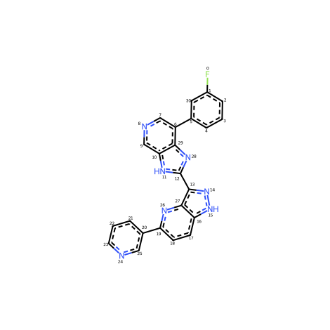 Fc1cccc(-c2cncc3[nH]c(-c4n[nH]c5ccc(-c6cccnc6)nc45)nc23)c1